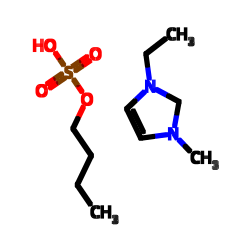 CCCCOS(=O)(=O)O.CCN1C=CN(C)C1